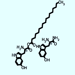 CCCCCCCCCCCCCCCCC(=O)OC(=O)[C@@H](N)Cc1c[nH]c2ccc(O)cc12.NC(=O)[C@@H](N)Cc1c[nH]c2ccc(O)cc12